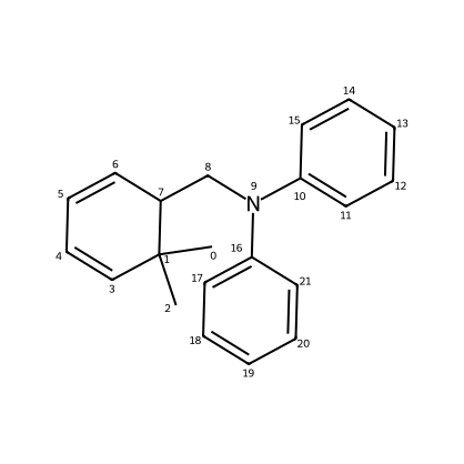 CC1(C)C=CC=CC1CN(c1ccccc1)c1ccccc1